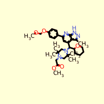 COCOc1ccc(-c2cc(C(C3CCCCO3)N3CC(C)(C)N(CC(=O)OC)CC3(C)C)c3c(C)n[nH]c3n2)cc1